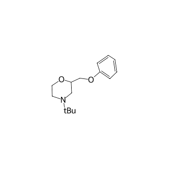 CC(C)(C)N1CCOC(COc2ccccc2)C1